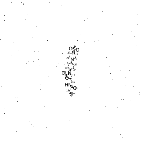 CS(=O)(=O)N1CCN(c2ccc(N3CC(CNC(=O)CS)OC3=O)cc2)CC1